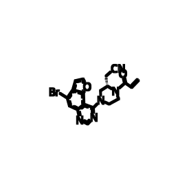 C=CC(=O)N1CCN(c2ncnc3cc(Br)c4ccoc4c23)C[C@@H]1CC#N